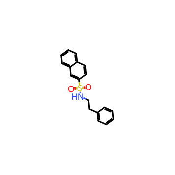 O=S(=O)(NCCc1ccccc1)c1ccc2ccccc2c1